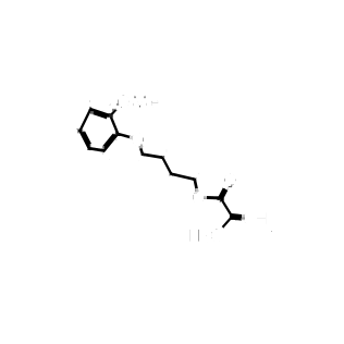 C=C(C)C(=O)OCCCCOc1ccccc1OC